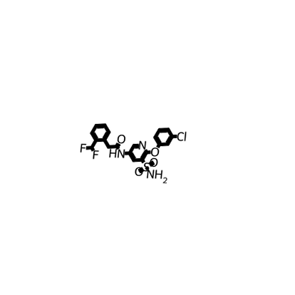 NS(=O)(=O)c1cc(NC(=O)Cc2ccccc2C(F)F)cnc1Oc1cccc(Cl)c1